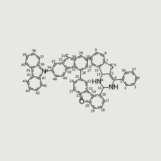 c1ccc(C2=C3Sc4ccccc4C3NC(c3cccc4oc5ccc(-c6cccc7sc8cc(-n9c%10ccccc%10c%10ccccc%109)ccc8c67)cc5c34)N2)cc1